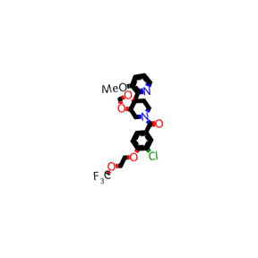 COc1cccnc1C12CCN(C(=O)c3ccc(OCCOC(F)(F)F)c(Cl)c3)CC1OCO2